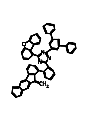 C=C1c2cc3ccccc3cc2-c2cccc(-c3ccccc3-c3nc(-c4cc(-c5ccccc5)cc(-c5ccccc5)c4)nc(-c4cccc5oc6ccccc6c45)n3)c21